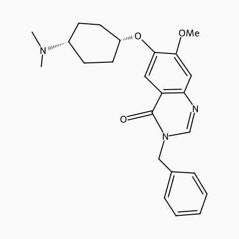 COc1cc2ncn(Cc3ccccc3)c(=O)c2cc1O[C@H]1CC[C@@H](N(C)C)CC1